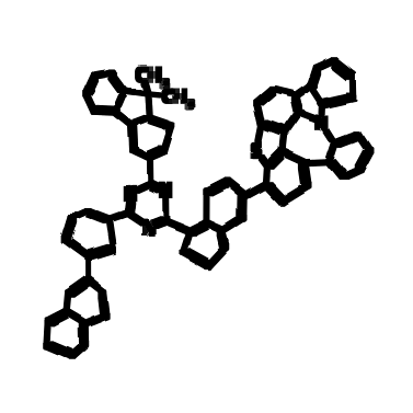 CC1(C)c2ccccc2-c2cc(-c3nc(-c4cccc(-c5ccc6ccccc6c5)c4)nc(-c4cccc5cc(-c6ccc7c8ccccc8n8c9ccccc9c9ccc%10sc6c7c%10c98)ccc45)n3)ccc21